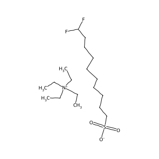 CC[N+](CC)(CC)CC.O=S(=O)([O-])CCCCCCCCCC(F)F